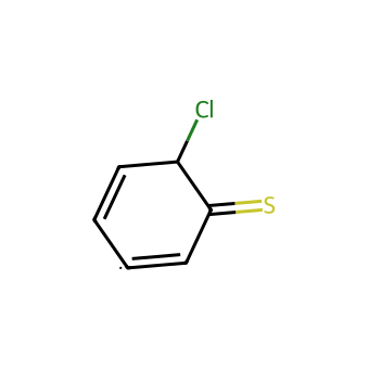 S=C1C=[C]C=CC1Cl